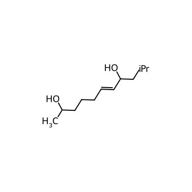 CC(C)CC(O)C=CCCCC(C)O